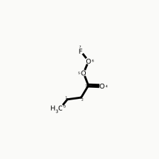 CCCC(=O)OOF